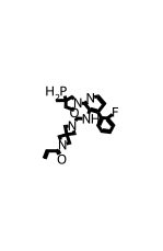 C=CC(=O)N1CC2(C1)CN(C(=O)Nc1c(-c3ccccc3F)ccnc1N1CCC(C)(P)C1)C2